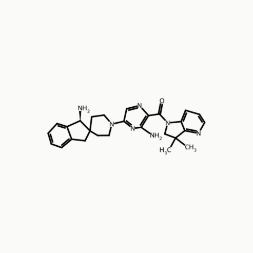 CC1(C)CN(C(=O)c2ncc(N3CCC4(CC3)Cc3ccccc3[C@H]4N)nc2N)c2cccnc21